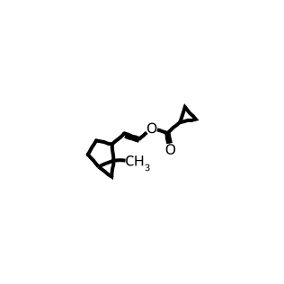 CC12CC1CCC2C=COC(=O)C1CC1